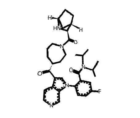 CC(C)N(C(=O)c1cc(F)ccc1-n1cc(C(=O)[C@@H]2CCCN(C(=O)[C@H]3N[C@@H]4CC[C@H]3C4)CC2)c2ccncc21)C(C)C